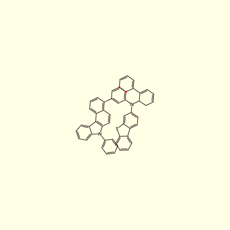 C1=CCCC(C2=CC=CCC2N(c2cccc(-c3cccc4c3ccc3c4c4ccccc4n3-c3ccccc3)c2)c2ccc3c(c2)sc2ccccc23)=C1